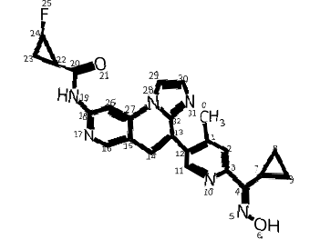 Cc1cc(/C(=N/O)C2CC2)ncc1-c1cc2cnc(NC(=O)[C@H]3C[C@H]3F)cc2n2ccnc12